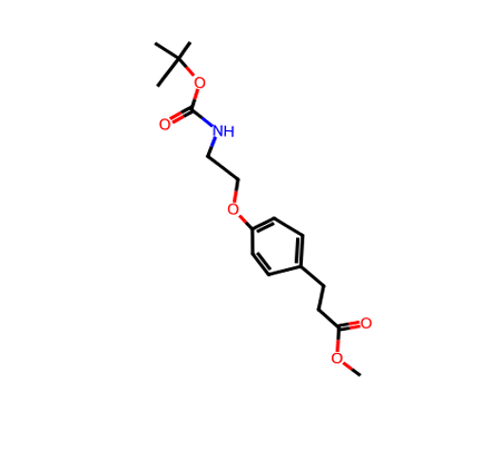 COC(=O)CCc1ccc(OCCNC(=O)OC(C)(C)C)cc1